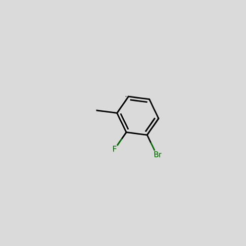 Cc1[c]ccc(Br)c1F